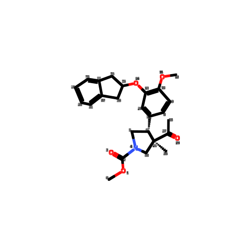 COC(=O)N1C[C@H](c2ccc(OC)c(OC3Cc4ccccc4C3)c2)[C@@](C)(C(C)=O)C1